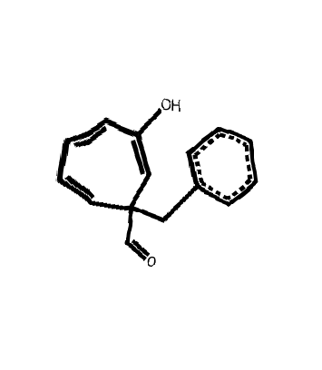 O=CC1(Cc2ccccc2)C=CC=CC(O)=C1